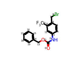 O=C(Nc1ccc(CBr)c(C(F)(F)F)c1)OCc1ccccc1